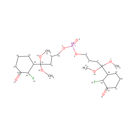 COC(CCCO[PH](=O)OCCCC(OC)(OC)C1CCCC(=O)C1F)(OC)C1CCCC(=O)C1F